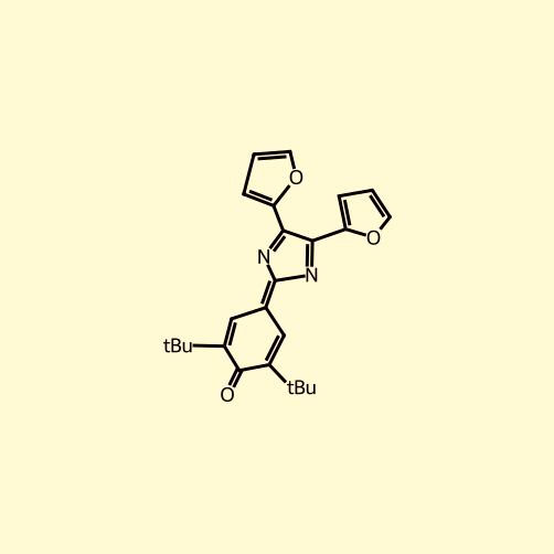 CC(C)(C)C1=CC(=C2N=C(c3ccco3)C(c3ccco3)=N2)C=C(C(C)(C)C)C1=O